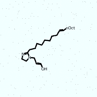 CCCCCCCCC=CCCCCCCCCC1=NCCN1CC=CO